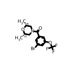 C[C@@H]1CN(C(=O)c2cc(Br)cc(OC(F)(F)F)c2)C[C@H](C)O1